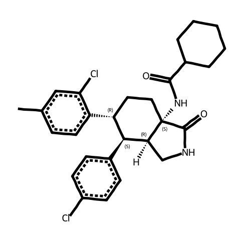 Cc1ccc([C@@H]2CC[C@@]3(NC(=O)C4CCCCC4)C(=O)NC[C@H]3[C@H]2c2ccc(Cl)cc2)c(Cl)c1